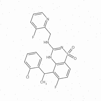 CC(c1ccccc1Cl)c1c(F)ccc2c1NC(NCc1ncccc1F)=NS2(=O)=O